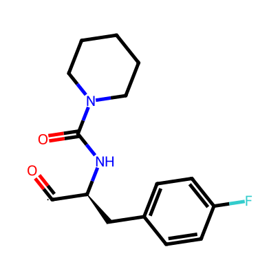 O=[C][C@H](Cc1ccc(F)cc1)NC(=O)N1CCCCC1